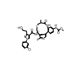 COC(=O)Nc1ccc2c(c1)NC(=O)C(C)CCC[C@H](NC(=O)c1cn(-c3cccc(Cl)c3)nc1CCO)c1cc-2cnc1F